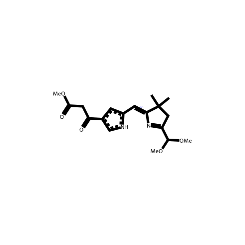 COC(=O)CC(=O)c1c[nH]c(/C=C2\N=C(C(OC)OC)CC2(C)C)c1